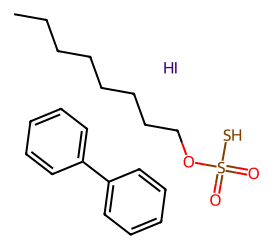 CCCCCCCCOS(=O)(=O)S.I.c1ccc(-c2ccccc2)cc1